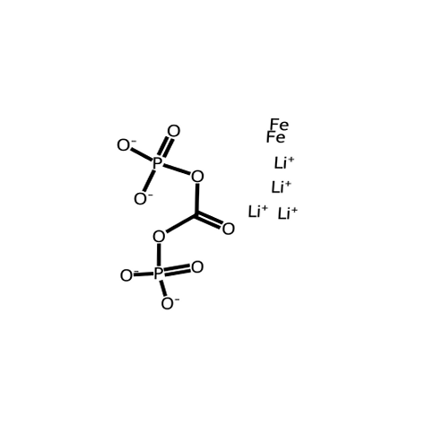 O=C(OP(=O)([O-])[O-])OP(=O)([O-])[O-].[Fe].[Fe].[Li+].[Li+].[Li+].[Li+]